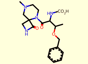 CC(OCc1ccccc1)C(NC(=O)O)C(=O)N1CCN(C)CC12CNC2=O